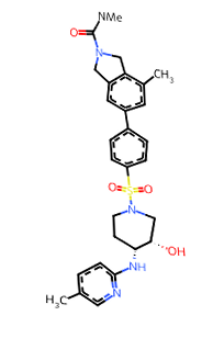 CNC(=O)N1Cc2cc(-c3ccc(S(=O)(=O)N4CC[C@@H](Nc5ccc(C)cn5)[C@@H](O)C4)cc3)cc(C)c2C1